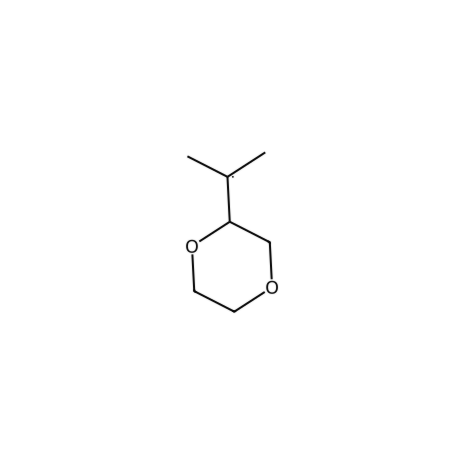 C[C](C)C1COCCO1